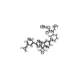 CC(C)CN(C(=O)OC(C)(C)C)[C@@H]1CCCN(c2ccc(C3(n4cc(-c5cncc(C6CC6)c5)nn4)COC3)nc2)C1